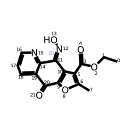 CCOC(=O)c1c(C)oc2c1/C(=N/O)c1ncccc1C2=O